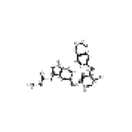 CNC(=O)Cc1n[nH]c2ccc(Nc3ncc(F)c(Nc4ccc5c(c4)OCCO5)n3)cc12